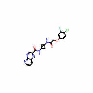 O=C(COc1ccc(Cl)c(F)c1)NC12CC(NC(=O)c3cnc4ncccc4n3)(C1)C2